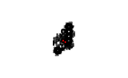 CC(C)(C)[Si](C)(C)OC12C(=O)c3c(OCc4ccccc4)noc3CC1C[C@@H]1Cc3ccccc3C(=O)C1=C2O